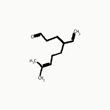 C=CC(CCC=O)CCC=C(C)C